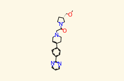 COC[C@H]1CCN(C(=O)CN2CC=C(c3ccc(-c4ncccn4)cc3)CC2)C1